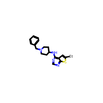 CCc1cc2c(NC3CCN(Cc4ccccc4)CC3)ncnc2s1